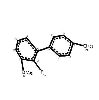 COc1cccc(-c2ccc(C=O)cc2)c1F